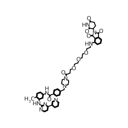 Cc1ccc(NC(=O)c2ccc(CN3CCN(C(=O)CCOCCOCCOCCNc4cccc5c4C(=O)N(C4CCC(=O)NC4=O)C5=O)CC3)cc2)cc1Nc1nccc(-c2cccnc2)n1